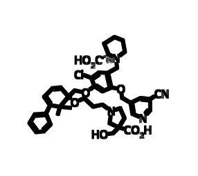 CC1(C)C(c2ccccc2)=CC=CC1(COc1cc(OCc2cncc(C#N)c2)c(CN2CCCC[C@H]2C(=O)O)cc1Cl)OCCCN1CCC(CO)(C(=O)O)C1